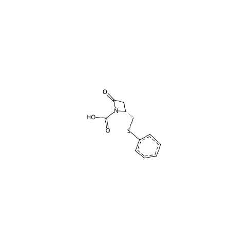 O=C(O)N1C(=O)C[C@@H]1CSc1ccccc1